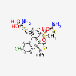 C.CCCc1scc(-c2ccccc2S(C)(=O)=O)c1-c1ccc(Cl)cc1.NC(O)=S.NC(O)=S.O